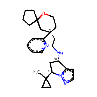 FC(F)(F)C1([C@H]2C[C@H](NCC[C@@]3(c4ccccn4)CCOC4(CCCC4)C3)c3ccnn32)CC1